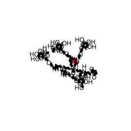 CC(=O)N[C@H]1[C@H](OCCOCCn2cc(CN(CCCC[C@@H](C(=O)NCCCNC(=O)CCN3C(=O)C=CC3=O)N(Cc3cn(CCOCCOC4O[C@H](CO)[C@H](O)[C@H](O)[C@H]4NC(C)=O)nn3)Cc3cn(CCOCCO[C@@H]4O[C@H](CO)[C@H](O)[C@H](O)[C@H]4C)nn3)Cc3cn(CCOCCO[C@@H]4O[C@H](CO)[C@H](O)[C@H](O)[C@H]4NC(C)=O)nn3)nn2)O[C@H](O)[C@H](O)[C@@H]1O